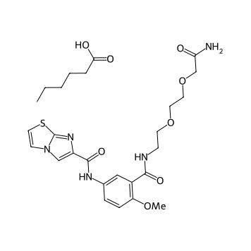 CCCCCC(=O)O.COc1ccc(NC(=O)c2cn3ccsc3n2)cc1C(=O)NCCOCCOCC(N)=O